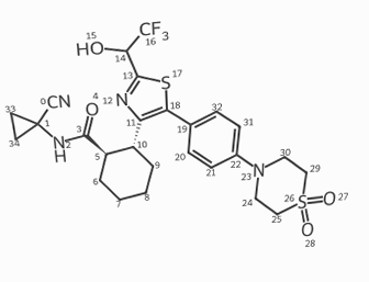 N#CC1(NC(=O)[C@@H]2CCCC[C@H]2c2nc(C(O)C(F)(F)F)sc2-c2ccc(N3CCS(=O)(=O)CC3)cc2)CC1